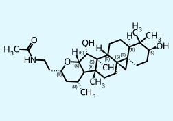 CC(=O)NCC[C@H]1C[C@@H](C)C2[C@H](O1)[C@H](O)[C@@]1(C)[C@@H]3CC[C@H]4C(C)(C)[C@@H](O)CC[C@@]45C[C@@]35CC[C@]21C